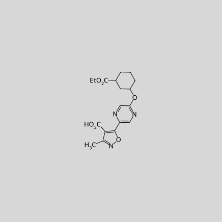 CCOC(=O)C1CCCC(Oc2cnc(-c3onc(C)c3C(=O)O)cn2)C1